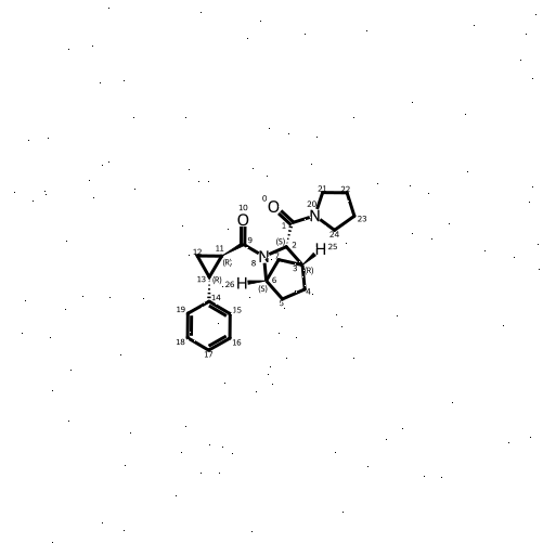 O=C([C@@H]1[C@@H]2CC[C@@H](C2)N1C(=O)[C@@H]1C[C@H]1c1ccccc1)N1CCCC1